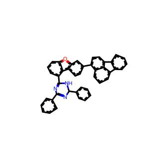 c1ccc(C2=NC(c3ccccc3)NC(c3cccc4oc5cc(-c6ccc7c8c(cccc68)-c6ccccc6-7)ccc5c34)=N2)cc1